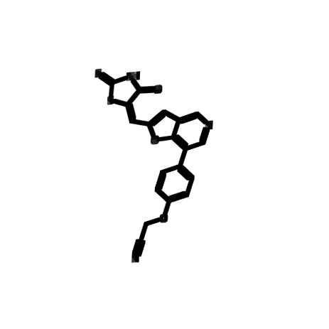 N#CCOc1ccc(-c2cncc3cc(/C=C4/SC(=S)NC4=O)oc23)cc1